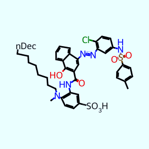 CCCCCCCCCCCCCCCCCCN(C)c1ccc(S(=O)(=O)O)cc1NC(=O)c1cc(/N=N/c2cc(NS(=O)(=O)c3ccc(C)cc3)ccc2Cl)c2ccccc2c1O